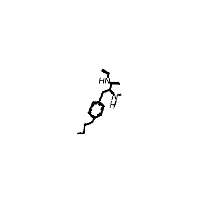 C=CNC(=C)C(Cc1ccc(CCCC)cc1)NC